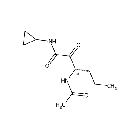 CCC[C@H](NC(C)=O)C(=O)C(=O)NC1CC1